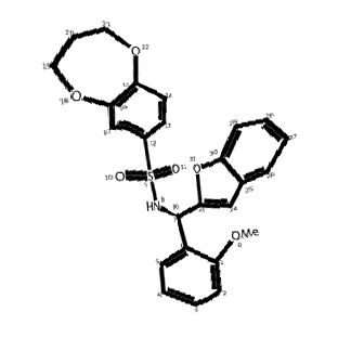 COc1ccccc1[C@@H](NS(=O)(=O)c1ccc2c(c1)OCCCO2)c1cc2ccccc2o1